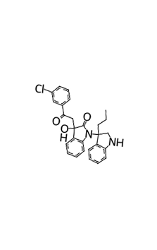 CCCC1(N2C(=O)C(O)(CC(=O)c3cccc(Cl)c3)c3ccccc32)CNc2ccccc21